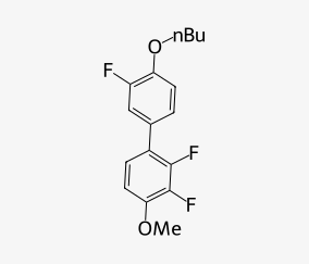 CCCCOc1ccc(-c2ccc(OC)c(F)c2F)cc1F